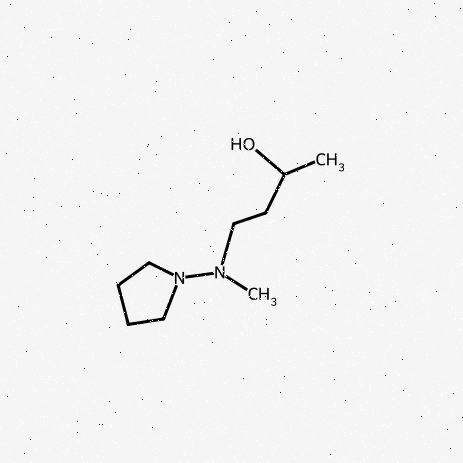 CC(O)CCN(C)N1CCCC1